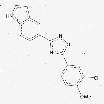 COc1ccc(-c2nc(-c3ccc4[nH]ccc4c3)no2)cc1Cl